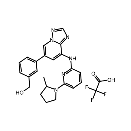 CC1CCCN1c1cccc(Nc2cc(-c3cccc(CO)c3)cn3ncnc23)n1.O=C(O)C(F)(F)F